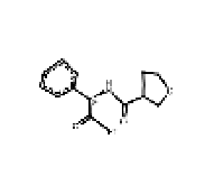 CCC(=O)[C@H](NC(=O)C1CCOC1)c1ccccc1